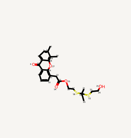 Cc1ccc2c(=O)c3cccc(CC(=O)OCCSC(C)(C)SCCO)c3oc2c1C